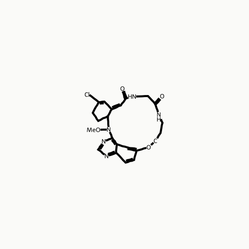 CON1c2ncnc3ccc(cc23)OCCCNC(=O)CNC(=O)/C=C2\C=C(Cl)CCC21